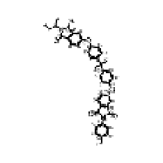 CCC(C)N1C(=O)c2ccc(Oc3ccc(C(C)(C)c4ccc(Oc5ccc6c(c5)C(=O)N(c5ccc(C)cc5)C6=O)cc4)cc3)cc2C1=O